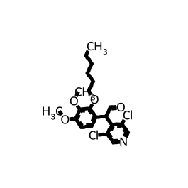 CCCCCCOc1c(C(C=O)c2c(Cl)cncc2Cl)ccc(OC)c1OC